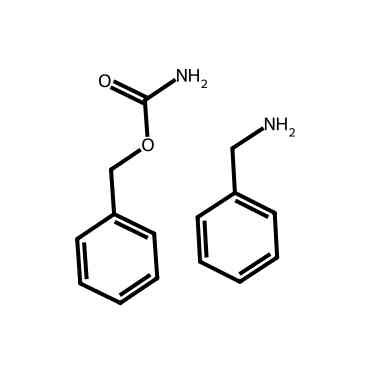 NC(=O)OCc1ccccc1.NCc1ccccc1